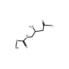 CC(C)(C)OC(=O)NCC(N)CC(N)=O